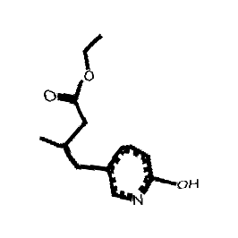 CCOC(=O)CC(C)Cc1ccc(O)nc1